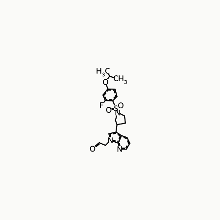 CC(C)Oc1ccc(S(=O)(=O)N2CCC(c3cn(CC=O)c4ncccc34)C2)c(F)c1